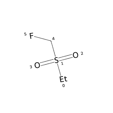 CCS(=O)(=O)CF